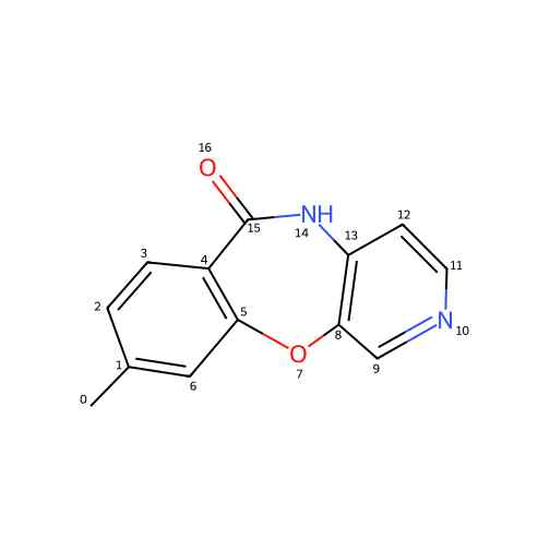 Cc1ccc2c(c1)Oc1cnccc1NC2=O